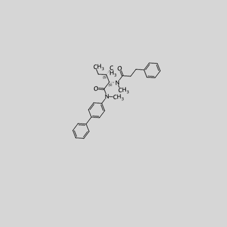 CC[C@H](C)[C@@H](C(=O)N(C)c1ccc(-c2ccccc2)cc1)N(C)C(=O)CCc1ccccc1